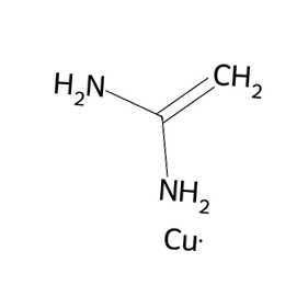 C=C(N)N.[Cu]